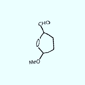 COC1CCC(C=O)O1